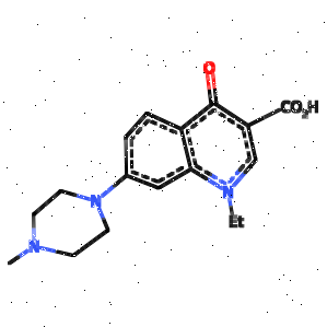 CCn1cc(C(=O)O)c(=O)c2ccc(N3CCN(C)CC3)cc21